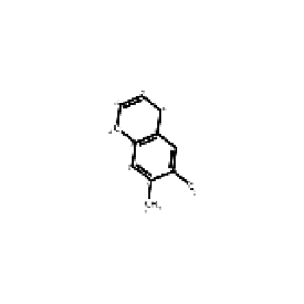 Cc1cc2c(cc1Cl)CC=CO2